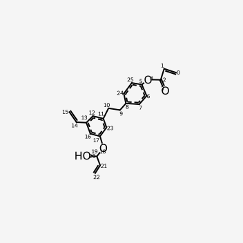 C=CC(=O)Oc1ccc(CCc2cc(C=C)cc(OC(O)C=C)c2)cc1